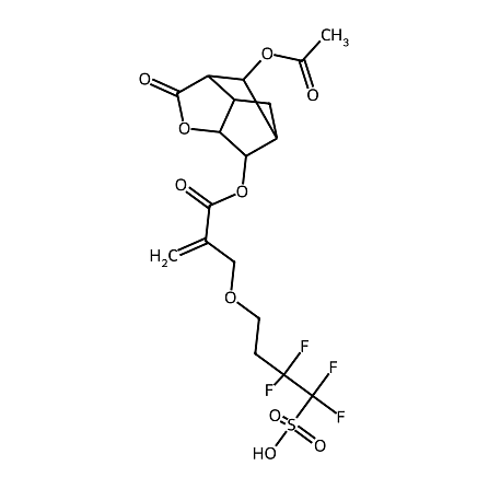 C=C(COCCC(F)(F)C(F)(F)S(=O)(=O)O)C(=O)OC1C2CC3C1OC(=O)C3C2OC(C)=O